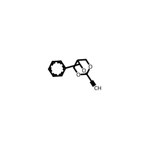 C#CC12OCC(CO1)C(c1ccccc1)O2